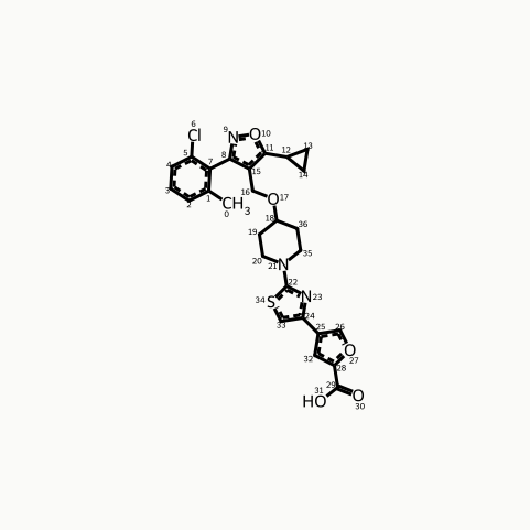 Cc1cccc(Cl)c1-c1noc(C2CC2)c1COC1CCN(c2nc(-c3coc(C(=O)O)c3)cs2)CC1